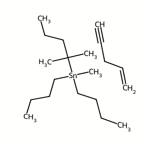 C#CCC=C.CCC[CH2][Sn]([CH3])([CH2]CCC)[C](C)(C)CCC